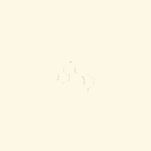 Cc1cc(C2=NC(C)(C)Oc3cc(F)ccc32)cnc1C